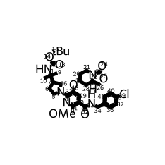 COc1nc(N2CCC(C(C)(C)NC(=O)OC(C)(C)C)C2)c(O[C@H]2CCN3C(=O)OC[C@@H]3C2)cc1C(=O)NCc1ccc(Cl)cc1